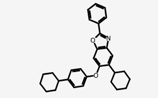 c1ccc(-c2nc3cc(C4CCCCC4)c(Oc4ccc(C5CCCCC5)cc4)cc3o2)cc1